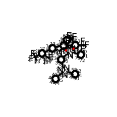 FC(F)(F)c1ccc(-c2ccc3c4ccc(-c5ccc(C(F)(F)F)cc5C(F)(F)F)cc4n(-c4ccc(-c5nc(-c6ccccc6)nc(-c6ccccc6)n5)cc4-c4nc(-c5ccccc5)nc(-c5ccccc5)n4)c3c2)c(C(F)(F)F)c1